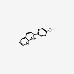 Oc1ccc(C2C=Cc3cccnc3N2)cc1